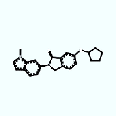 Cn1ccc2ccc(N3Cc4ccc(OC5CCCC5)cc4C3=O)cc21